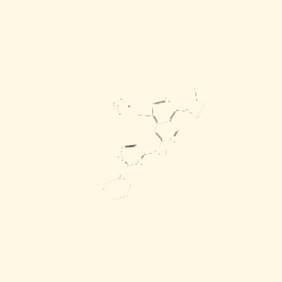 CC1CCN1c1ncc(CC2(C)CNC2)c2cc(Nc3ccnc(N4CCC(O)CC4)n3)ncc12